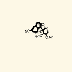 CC(=O)O[C@@H]1CS[C@@H](O)[C@@](OC(C)=O)(c2cccc3cc(C#N)ccc23)[C@H]1OC(C)=O